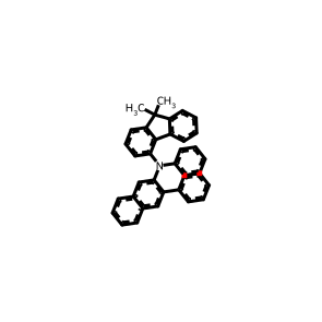 CC1(C)c2ccccc2-c2c(N(c3ccccc3)c3cc4ccccc4cc3-c3ccccc3)cccc21